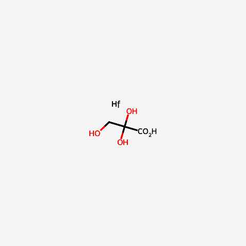 O=C(O)C(O)(O)CO.[Hf]